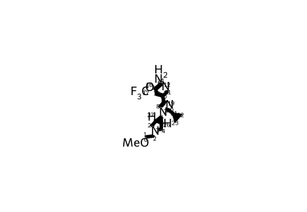 COCCN1C[C@@H]2C(n3cc(-c4cnc(N)c(OC(F)(F)F)c4)nc3C3CC3)[C@@H]2C1